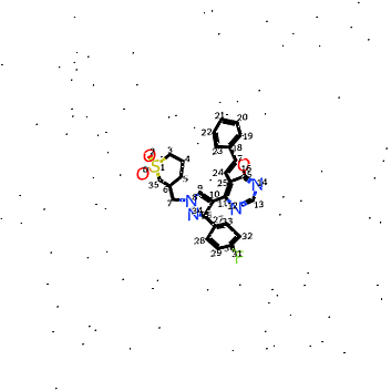 O=S1(=O)CCCC(Cn2cc(-c3ncnc4oc(-c5ccccc5)cc34)c(-c3ccc(F)cc3)n2)C1